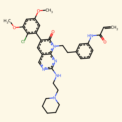 C=CC(=O)Nc1cccc(CCn2c(=O)c(-c3cc(OC)cc(OC)c3Cl)cc3cnc(NCCN4CCCCC4)nc32)c1